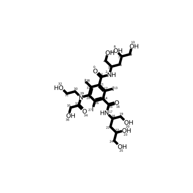 O=C(NC(CO)CC(O)CO)c1c(I)c(C(=O)NC(CO)CC(O)CO)c(I)c(N(CCO)C(=O)CO)c1I